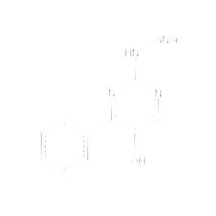 CCCCCCCCCNc1ncc(O)c(-c2ccccc2)n1